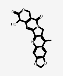 Cc1c2c(nc3cc4c(cc13)OCO4)-c1cc3c(c(=O)n1C2)COC(=O)C3O